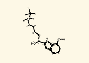 COc1cccc2cc(C(O)CCCO[Si](C)(C)C(C)(C)C)oc12